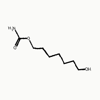 NC(=O)OCCCCCCCO